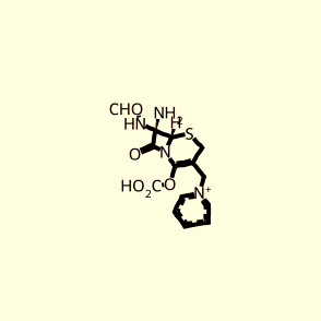 N[C@]1(NC=O)C(=O)N2C(OC(=O)O)=C(C[n+]3ccccc3)CS[C@H]21